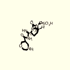 N=C(NC(=O)C1CNCCOC1)[C@@H]1CC[C@@H]2CN1C(=O)N2OS(=O)(=O)O